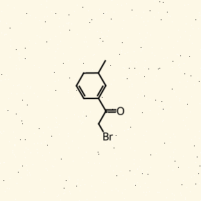 CC1C=C(C(=O)CBr)C=CC1